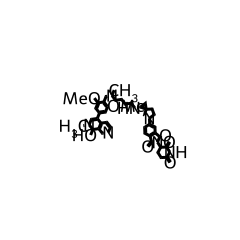 COc1cc(C2=CN(C)C(O)c3cnccc32)cc(OC)c1CN(C)CCCCNC1CC12CCN(c1ccc3c(c1)C(=O)N(C1CCC(=O)NC1=O)C3=O)C2